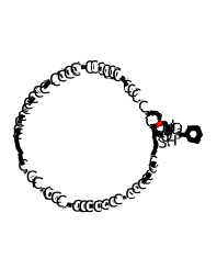 CC1(CS)CCCCCCCCCCCCCCCCCCCCCCCCCCCCCCCCCCCCCCCCCCCCCCCCCCCCCCCCCCC2CCC(C)(CC(=O)OCc3ccccc3)C1C2